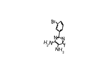 Nc1nc(-c2cccc(Br)c2)nc(I)c1N